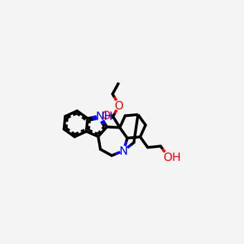 CCOC(=O)C12CC3CC(CCO)C1N(CCc1c2[nH]c2ccccc12)C3